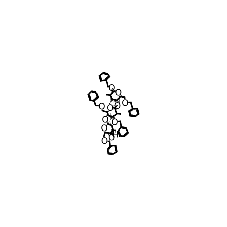 CC1[C@H](OCc2ccccc2)OC(COCc2ccccc2)[C@@H](O[C@@H]2OC(COCc3ccccc3)[C@@H](O[C@@H]3OC4COC(c5ccccc5)O[C@H]4[C@H](C)C3OCc3ccccc3)[C@H](C)C2C)[C@@H]1C